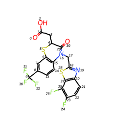 O=C(O)CC1Sc2cc(C(F)(F)F)ccc2N(Cc2nc3ccc(F)c(F)c3s2)C1=O